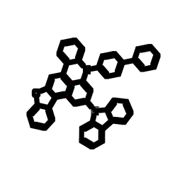 c1ccc(-c2ccc(N(c3cccc(-n4c5ccccc5c5ccccc54)c3)c3ccccc3-c3ccc4c(c3)oc3ccccc34)cc2)cc1